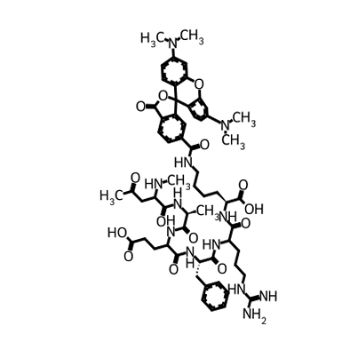 CNC(CC(C)=O)C(=O)N[C@@H](C)C(=O)NC(CCC(=O)O)C(=O)N[C@@H](Cc1ccccc1)C(=O)NC(CCCNC(=N)N)C(=O)N[C@@H](CCCCNC(=O)c1ccc2c(c1)C1(OC2=O)c2ccc(N(C)C)cc2Oc2cc(N(C)C)ccc21)C(=O)O